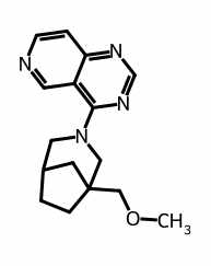 COCC12CCC(CN(c3ncnc4ccncc34)C1)C2